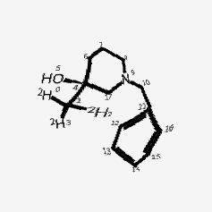 [2H]C([2H])([2H])[C@]1(O)CCCN(Cc2ccccc2)C1